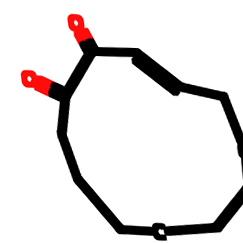 O=C1/C=C/CCCCCCCCC1=O